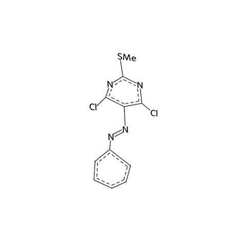 CSc1nc(Cl)c(N=Nc2ccccc2)c(Cl)n1